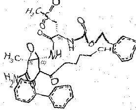 CCCCCC(=O)[C](c1ccccc1-c1ccccc1)[C@]1(NC(=O)[C@H](CS(C)(=O)=O)NC(=O)OCc2ccccc2)O[C@]1(C)C(N)=O